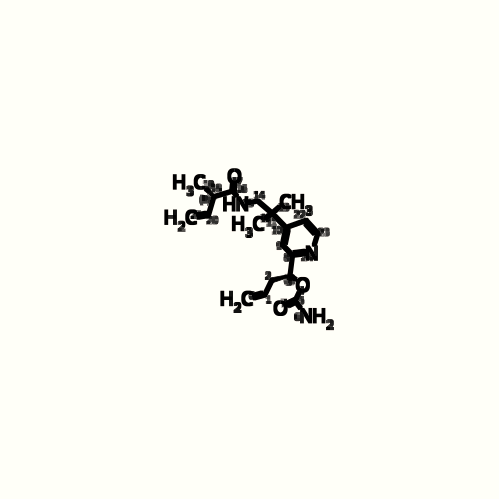 C=CC[C@H](OC(N)=O)c1cc(C(C)(C)CNC(=O)[C@H](C)C=C)ccn1